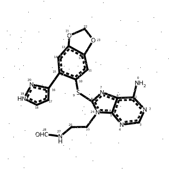 Nc1ncnc2c1nc(Sc1cc3c(cc1-c1cc[nH]n1)OCO3)n2CCNC=O